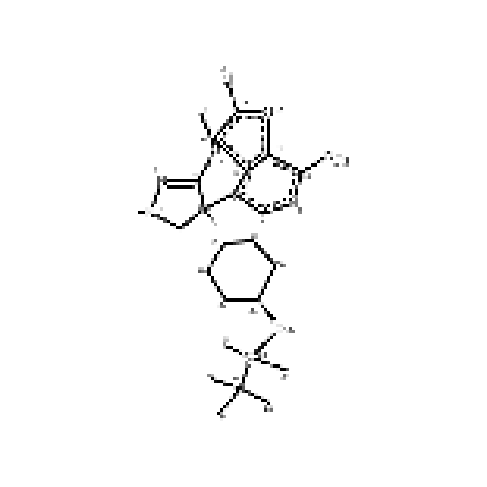 COC1=NNCC1(c1cnc(N)c2oc(Cl)cc12)[C@H]1CC[C@H](O[Si](C)(C)C(C)(C)C)CC1